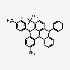 Cc1ccc(N2c3ccc(C)cc3B3c4ccccc4N(C4=CCCC=C4)c4ccc(C(C)(C)C)c2c43)cc1